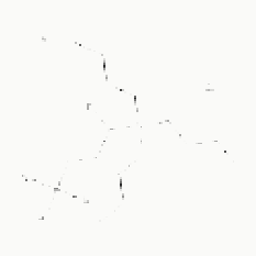 CCCC[N+](CCCC)(CCCC)C(Br)CCC(Br)(Br)Br.[Br-].[Zn]